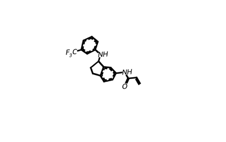 C=CC(=O)Nc1ccc2c(c1)C(Nc1cccc(C(F)(F)F)c1)CC2